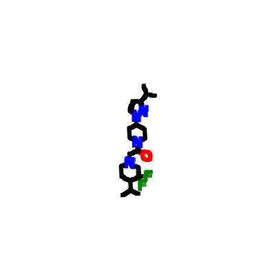 CC(C)c1ccn(C2CCN(C(=O)CN3CCC(C(C)C)C(F)(F)C3)CC2)n1